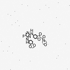 O=C1c2cc(Nc3ncc(F)c(Nc4ccc5c(c4)OCCO5)n3)ccc2OC1C(=O)N1CCOCC1